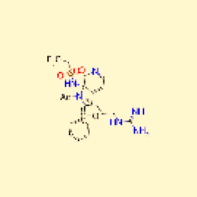 CC(=O)N([C@H](C=O)CCCNC(=N)N)C1(NS(=O)(=O)CC(F)(F)F)C(=O)N=CC=C1CCc1ccccc1